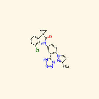 CC(C)(C)c1ccn(-c2ccc(NC(=O)C3(c4cccc(Cl)c4)CC3)cc2-c2nnn[nH]2)n1